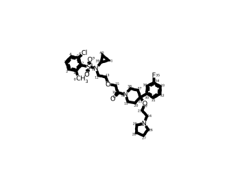 Cc1cccc(Cl)c1S(=O)(=O)N(CCOCC(=O)N1CCC(OCCN2CCCC2)(c2cccc(F)c2)CC1)C1CC1